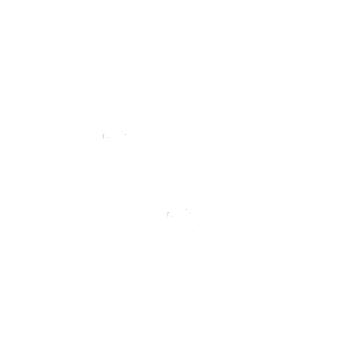 CCCCC(C(=O)[O-])C(=O)N(Nc1ccccc1)c1ccccc1.CCCCC(C(=O)[O-])C(=O)N(Nc1ccccc1)c1ccccc1.[Ca+2]